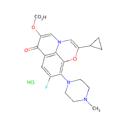 CN1CCN(c2c(F)cc3c(=O)c(OC(=O)O)cn4c3c2OC(C2CC2)=C4)CC1.Cl